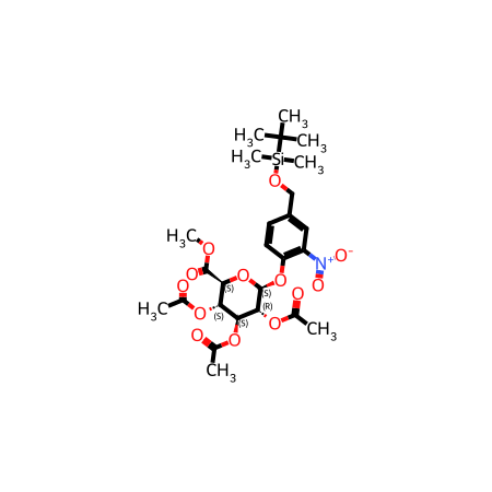 COC(=O)[C@H]1O[C@@H](Oc2ccc(CO[Si](C)(C)C(C)(C)C)cc2[N+](=O)[O-])[C@H](OC(C)=O)[C@@H](OC(C)=O)[C@@H]1OC(C)=O